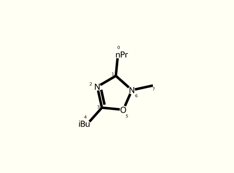 CCCC1N=C(C(C)CC)ON1C